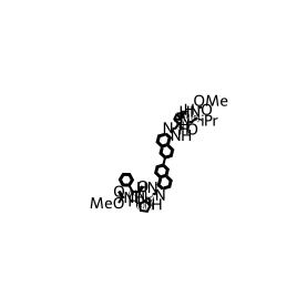 COC(=O)N[C@H](C(=O)N1[C@H](c2nc3ccc4cc(-c5ccc6c(ccc7nc([C@@H]8[C@H]9CC[C@H](C9)N8C(=O)[C@H](NC(=O)OC)c8ccccc8)[nH]c76)c5)ccc4c3[nH]2)C2C3[C@H]2[C@@H]31)C(C)C